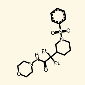 CCC(CC)(C(=O)NN1CCOCC1)C1CCCN(S(=O)(=O)c2ccccc2)C1